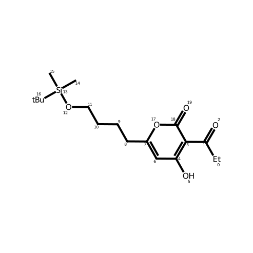 CCC(=O)c1c(O)cc(CCCCO[Si](C)(C)C(C)(C)C)oc1=O